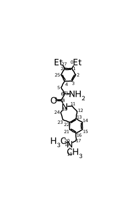 CCc1ccc(C[C@@H](N)C(=O)N2CCc3ccc(CN(C)C)cc3CC2)cc1CC